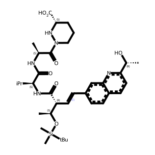 CC(C)[C@H](NC(=O)[C@H](/C=C/c1ccc2ccc([C@@H](C)O)nc2c1)[C@H](C)O[Si](C)(C)C(C)(C)C)C(=O)N[C@@H](C)C(=O)N1CCC[C@@H](C(=O)O)N1